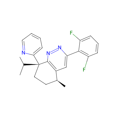 CC(C)[C@]1(c2ccccn2)CC[C@H](C)c2cc(-c3c(F)cccc3F)nnc21